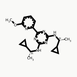 COc1cccc(-c2nc(N[C@H](C)C3CC3)nc(N[C@H](C)C3CC3)n2)n1